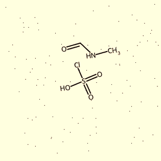 CNC=O.O=S(=O)(O)Cl